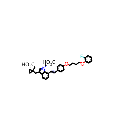 O=C(O)Cn1cc(CC2(CC(=O)O)CC2)c2cccc(/C=C/c3ccc(OCCCCOc4ccccc4F)cc3)c21